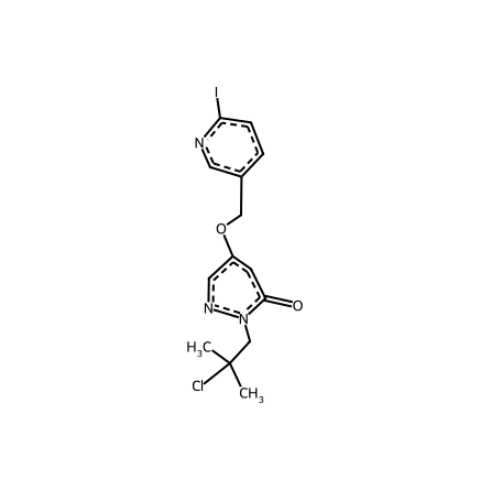 CC(C)(Cl)Cn1ncc(OCc2ccc(I)nc2)cc1=O